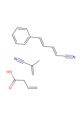 C=C(C)C#N.C=CCC(=O)O.N#CC=CC=Cc1ccccc1